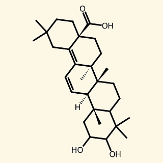 CC1(C)CC[C@]2(C(=O)O)CC[C@]3(C)C(=C2C1)C=C[C@@H]1[C@@]2(C)CC(O)C(O)C(C)(C)C2CC[C@]13C